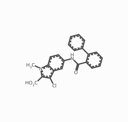 Cn1c(C(=O)O)c(Cl)c2cc(NC(=O)c3ccccc3-c3ccccc3)ccc21